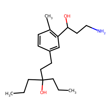 CCCC(O)(CCC)CCc1ccc(C)c(C(O)CCN)c1